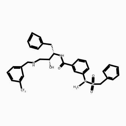 CN(c1cccc(C(=O)N[C@@H](Cc2ccccc2)[C@H](O)CNCc2cccc(C(F)(F)F)c2)c1)S(=O)(=O)Cc1ccccc1